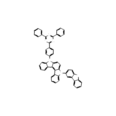 c1ccc(-c2nc(-c3ccccc3)nc(-c3ccc(-n4c5ccccc5c5c6c7ccccc7n(-c7ccc8oc9ccccc9c8c7)c6ccc54)cc3)n2)cc1